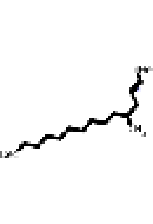 [CH2]CCCCC/C=C/CC(C)CCCCCCCCCCCCCCCCCC[CH2]